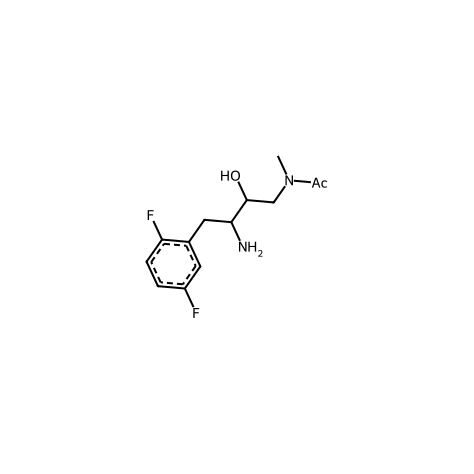 CC(=O)N(C)CC(O)C(N)Cc1cc(F)ccc1F